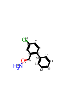 NOCc1cc(Cl)ccc1-c1ccccc1